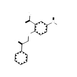 NC(=O)c1cc([N+](=O)[O-])ccc1OCC(=O)c1ccccc1